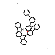 c1ccc(-c2cccc(-c3cccc(-n4c5ccccc5c5ccc6c7ccccc7n(-c7ccc8c(c7)sc7ccccc78)c6c54)c3)c2)cc1